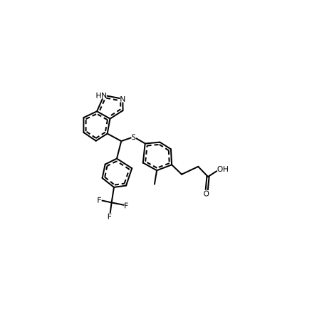 Cc1cc(SC(c2ccc(C(F)(F)F)cc2)c2cccc3[nH]ncc23)ccc1CCC(=O)O